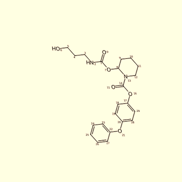 O=C(NCCCO)OC1CCCCN1C(=O)Oc1ccc(Oc2ccccc2)cc1